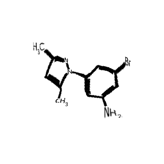 Cc1cc(C)n(-c2cc(N)cc(Br)c2)n1